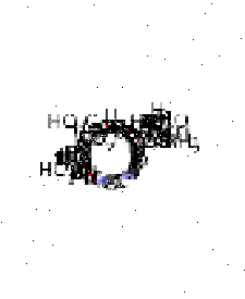 CC(=O)N1CCC[C@]12C/C=C/CCCCCC/C=C\CCCOC(=O)N1CC[C@@H](C1)NC(=O)[C@H](CCCCNC(O)CC[C@H](NC(=O)[C@H](Cc1csc3ccccc13)NC(=O)[C@H](Cc1ccccc1Br)NC=O)C(=O)N[C@@H](C)C(N)=O)NC(=O)[C@H](Cc1ccccc1)NC(=O)[C@H](C)NC(=O)C(C)(C)NC(=O)[C@H](Cc1cccc(C(=O)O)c1)NC(=O)[C@H](CC(=O)O)NC(=O)NC(O)[C@H](CC(C)(C)C)NC(=O)[C@H](CC(=O)O)NC2=O